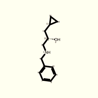 O[C@H](CNCc1ccccc1)CC1CC1